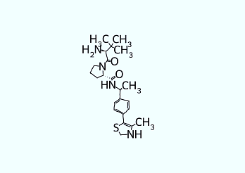 CC1=C(c2ccc([C@H](C)NC(=O)[C@@H]3CCCN3C(=O)[C@@H](N)C(C)(C)C)cc2)SCN1